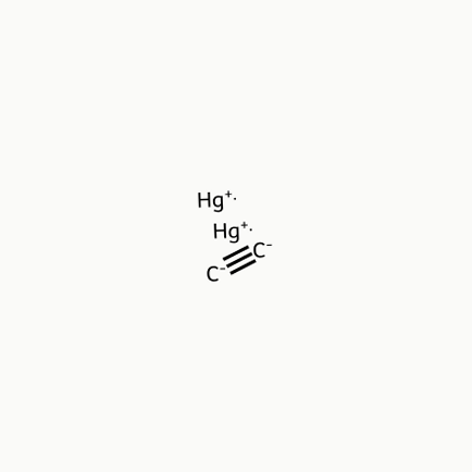 [C-]#[C-].[Hg+].[Hg+]